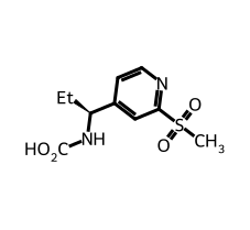 CC[C@H](NC(=O)O)c1ccnc(S(C)(=O)=O)c1